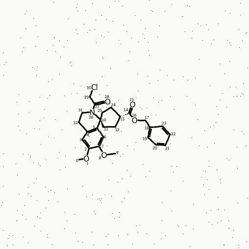 COc1cc2c(cc1OC)[C@]1(CC[C@@H](C(=O)OCc3ccccc3)CC1)N(C(=O)CCl)CC2